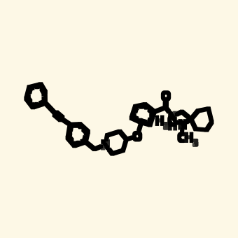 CN(C)C1(CNC(=O)c2cccc(OC3CCN(Cc4ccc(C#Cc5ccccc5)cc4)CC3)c2)CCCCC1